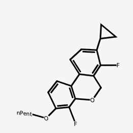 CCCCCOc1ccc2c(c1F)OCc1c-2ccc(C2CC2)c1F